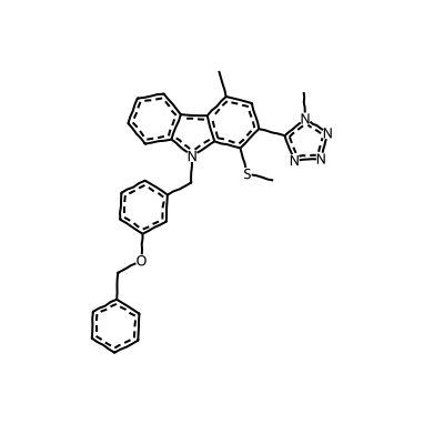 CSc1c(-c2nnnn2C)cc(C)c2c3ccccc3n(Cc3cccc(OCc4ccccc4)c3)c12